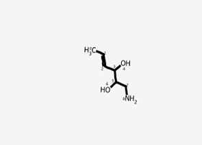 CC=CC(O)C(O)CN